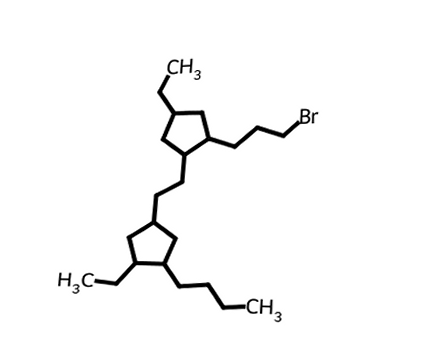 CCCCC1CC(CCC2CC(CC)CC2CCCBr)CC1CC